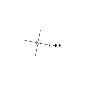 C[N+](C)(C)[C]=O